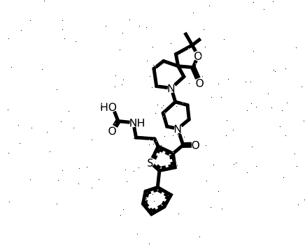 CC1(C)CC2(CCCN(C3CCN(C(=O)c4cc(-c5ccccc5)sc4CCNC(=O)O)CC3)C2)C(=O)O1